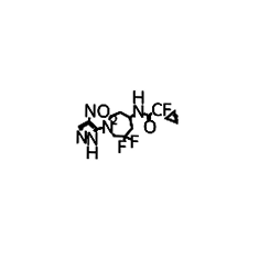 C1CC1.O=C(NC1CCN(c2[nH]ncc2[N+](=O)[O-])CC(F)(F)C1)C(F)(F)F